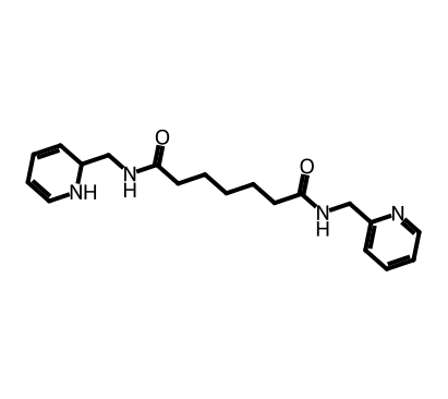 O=C(CCCCCC(=O)NCC1C=CC=CN1)NCc1ccccn1